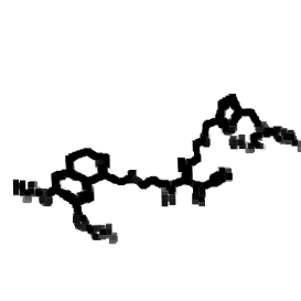 COc1cc2c(cc1OC)C(CSCCNC(=NCCSCc1ccc(CN(C)C)o1)NC#N)=NCC2